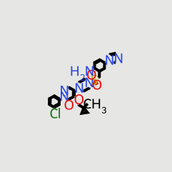 CC1(COc2c(N3CCN(S(=O)(=O)CC4CC(n5ccnc5)C=CC4N)CC3)cnn(-c3cccc(Cl)c3)c2=O)CC1